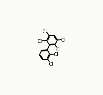 Clc1cccc(-c2c(Cl)c(Cl)cc(Cl)c2Cl)c1Cl